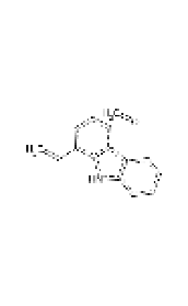 C=Cc1cccc2c1[nH]c1ccccc12.C=O